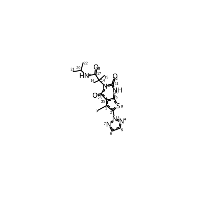 Cc1c(-n2nccn2)sc2[nH]c(=O)n(C(C)(C)C(=O)NC(C)C)c(=O)c12